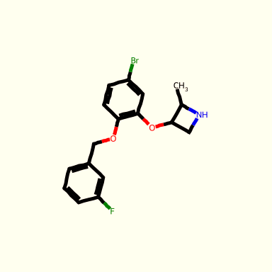 CC1NCC1Oc1cc(Br)ccc1OCc1cccc(F)c1